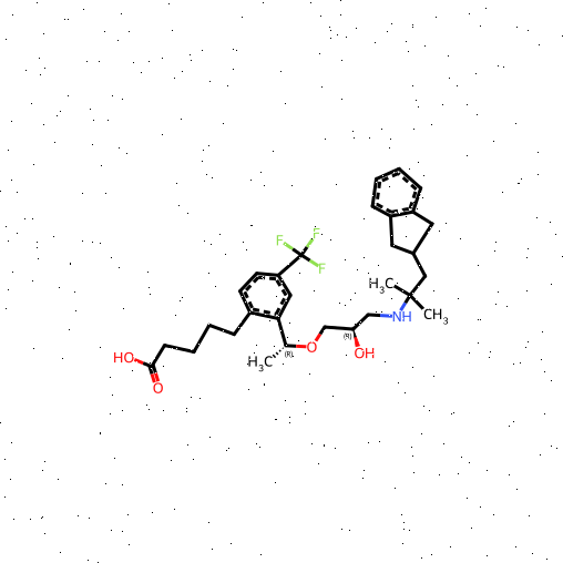 C[C@@H](OC[C@H](O)CNC(C)(C)CC1Cc2ccccc2C1)c1cc(C(F)(F)F)ccc1CCCCC(=O)O